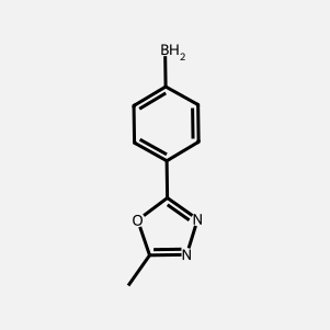 Bc1ccc(-c2nnc(C)o2)cc1